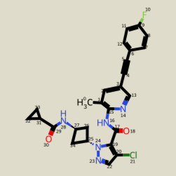 Cc1cc(C#Cc2ccc(F)cc2)cnc1NC(=O)c1c(Cl)cnn1[C@H]1C[C@H](NC(=O)C2CC2)C1